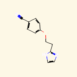 N#Cc1ccc(OCCc2ncc[nH]2)cc1